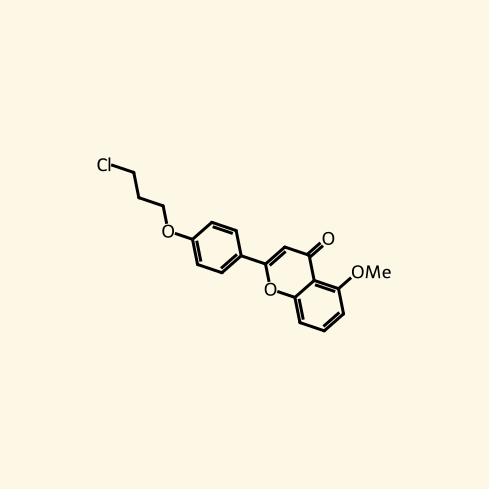 COc1cccc2oc(-c3ccc(OCCCCl)cc3)cc(=O)c12